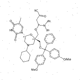 COc1ccc(C(OC[C@@]2(COP(CC(=O)C#N)N(C(C)C)C(C)C)CN(C3CCCCC3)C[C@H](n3cc(C)c(=O)[nH]c3=O)O2)(c2ccccc2)c2ccc(OC)cc2)cc1